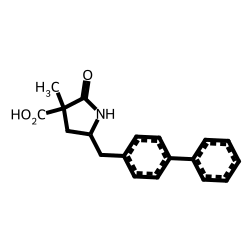 CC1(C(=O)O)CC(Cc2ccc(-c3ccccc3)cc2)NC1=O